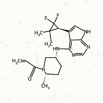 C=CC(=O)N1C[C@H](Nc2ncnc3[nH]cc([C@H]4C(C)(C)C4(F)F)c23)CC[C@@H]1C